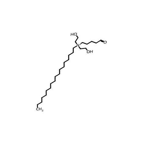 CCCCCCCCCCCCCCCCCC[N+](CCO)(CCO)CCCC[C]=O